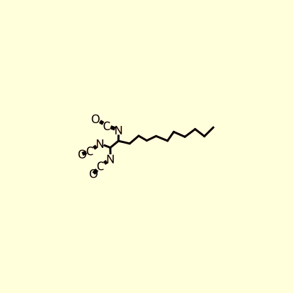 CCCCCCCCCCC(N=C=O)C(N=C=O)N=C=O